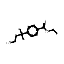 CCOC(=O)c1ccc(C(C)(C)CCO)cc1